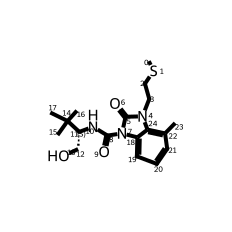 CSCCn1c(=O)n(C(=O)N[C@H](CO)C(C)(C)C)c2cccc(C)c21